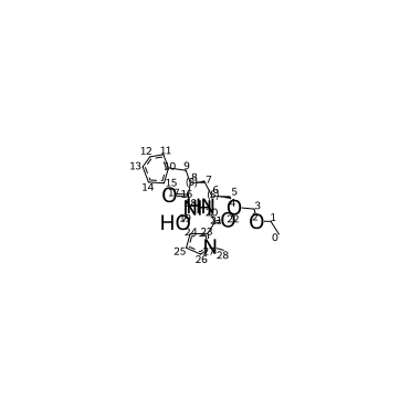 CCOCOC[C@H](C[C@H](Cc1ccccc1)C(=O)NO)NC(=O)c1cccn1C